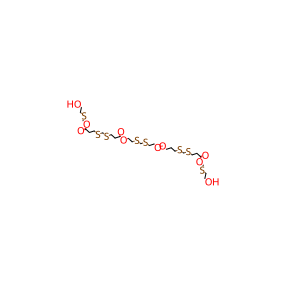 O=C(CCSCSCCC(=O)OCSCCO)OCCSCSCCOOCCCSCSCCC(=O)OCSCCO